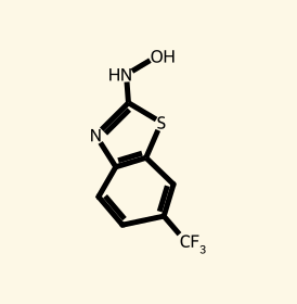 ONc1nc2ccc(C(F)(F)F)cc2s1